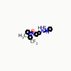 Cc1cccc(C(=O)Nc2ccc3c(c2)CC(NCc2nc4ccccc4n2C)C3)c1-c1ccc(C(F)(F)F)cc1